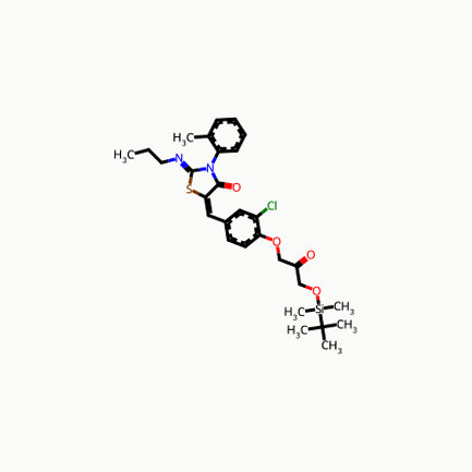 CCC/N=C1\SC(=Cc2ccc(OCC(=O)CO[Si](C)(C)C(C)(C)C)c(Cl)c2)C(=O)N1c1ccccc1C